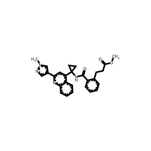 COC(=O)CCc1ccccc1C(=O)NC1(c2cc(-c3cnn(C)c3)nc3ccccc23)CC1